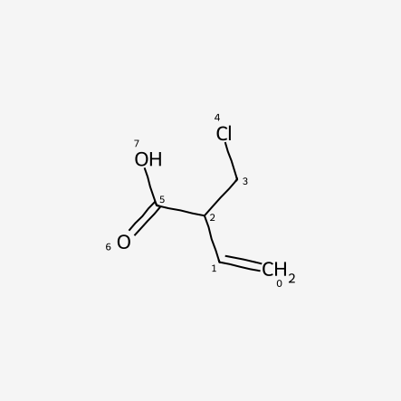 C=CC(CCl)C(=O)O